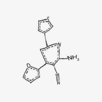 N#Cc1c(-c2ccco2)cc(-c2ccsc2)nc1N